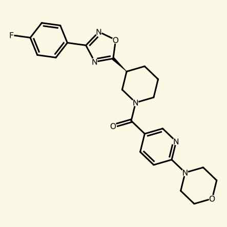 O=C(c1ccc(N2CCOCC2)nc1)N1CCC[C@H](c2nc(-c3ccc(F)cc3)no2)C1